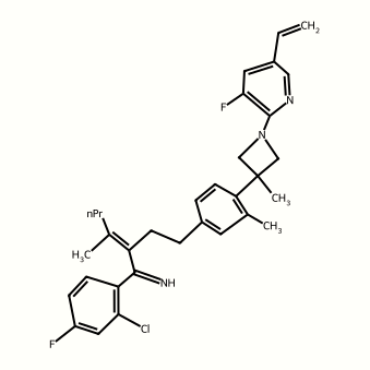 C=Cc1cnc(N2CC(C)(c3ccc(CC/C(C(=N)c4ccc(F)cc4Cl)=C(/C)CCC)cc3C)C2)c(F)c1